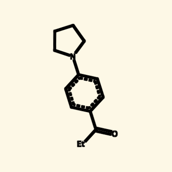 CCC(=O)c1ccc(N2CCCC2)cc1